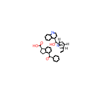 C=C[C@H]1C[N@]2CC[C@H]1C[C@H]2[C@H](O)c1ccnc2ccccc12.O=C(c1ccccc1)c1cccc2c1CCC2C(=O)O